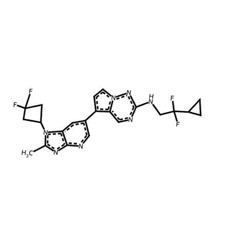 Cc1nc2ncc(-c3ccn4nc(NCC(F)(F)C5CC5)ncc34)cc2n1C1CC(F)(F)C1